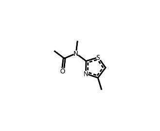 CC(=O)N(C)c1nc(C)cs1